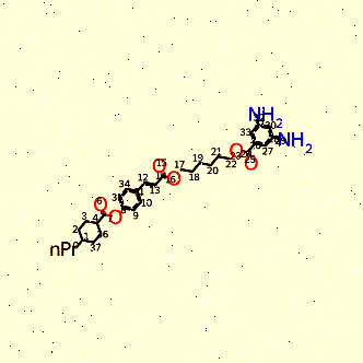 CCCC1CCC(C(=O)Oc2ccc(/C=C/C(=O)OCCCCCCOC(=O)c3cc(N)cc(N)c3)cc2)CC1